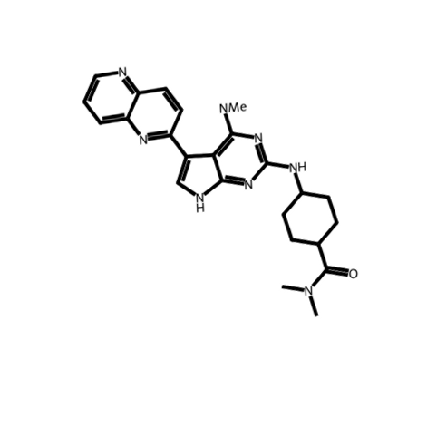 CNc1nc(NC2CCC(C(=O)N(C)C)CC2)nc2[nH]cc(-c3ccc4ncccc4n3)c12